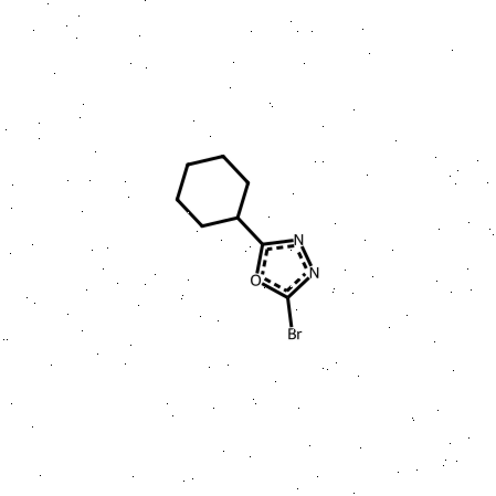 Brc1nnc(C2CCCCC2)o1